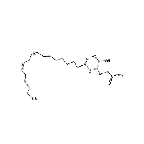 CCCCC/C=C\C/C=C\CCCCCCCC(=O)NC(CCC(N)=O)C(O)O